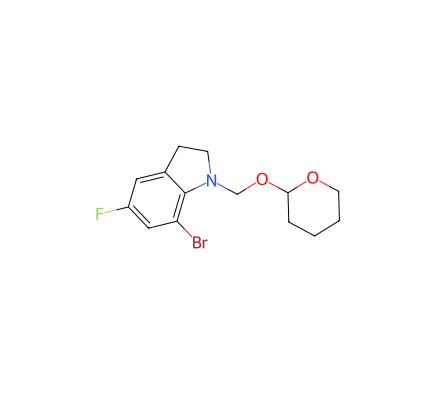 Fc1cc(Br)c2c(c1)CCN2COC1CCCCO1